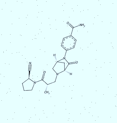 C[C@@H](CN1C[C@@H]2C[C@H]1C(=O)N2c1ccc(C(N)=O)cc1)C(=O)N1CCC[C@H]1C#N